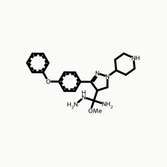 COC(N)(NN)C1CN(C2CCNCC2)N=C1c1ccc(Oc2ccccc2)cc1